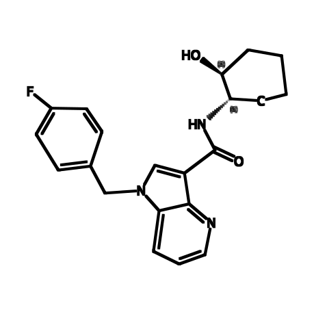 O=C(N[C@H]1CCCC[C@@H]1O)c1cn(Cc2ccc(F)cc2)c2cccnc12